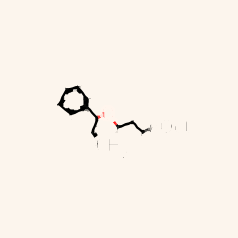 C=CC(OCCCCCCCCCCC)c1ccccc1